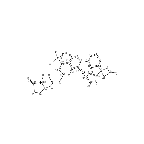 CC1CC(c2cccc(-c3cnc4c(C(F)(F)F)cc(CN5CCN6C(=O)CCC6C5)cn4c3=O)c2)(c2nncn2C)C1